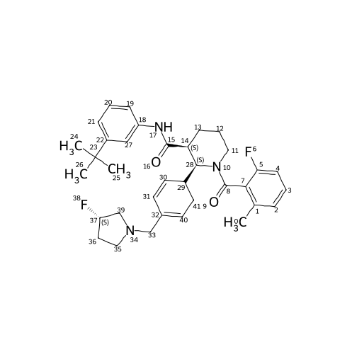 Cc1cccc(F)c1C(=O)N1CCC[C@H](C(=O)Nc2cccc(C(C)(C)C)c2)[C@@H]1C1C=CC(CN2CC[C@H](F)C2)=CC1